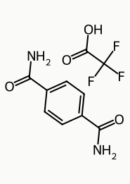 NC(=O)c1ccc(C(N)=O)cc1.O=C(O)C(F)(F)F